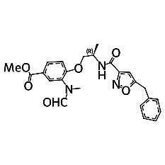 COC(=O)c1ccc(OC[C@@H](C)NC(=O)c2cc(Cc3ccccc3)on2)c(N(C)C=O)c1